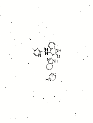 Cc1ccnc(C(C)Nc2c(-c3nc4ccc([C@H]5CNCCO5)cc4[nH]3)c(=O)[nH]c3ccccc23)n1